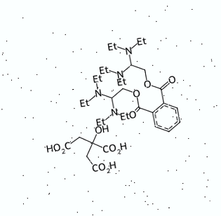 CCN(CC)C(COC(=O)c1ccccc1C(=O)OCC(N(CC)CC)N(CC)CC)N(CC)CC.O=C(O)CC(O)(CC(=O)O)C(=O)O